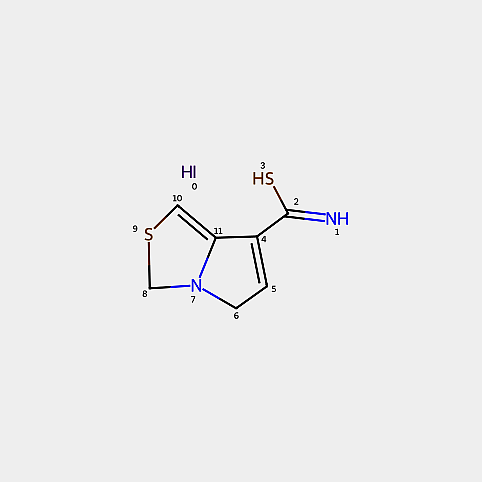 I.N=C(S)C1=CCN2CSC=C12